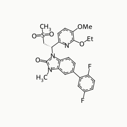 CCOc1nc([C@@H](CS(C)(=O)=O)n2c(=O)n(C)c3cc(-c4cc(F)ccc4F)ccc32)ccc1OC